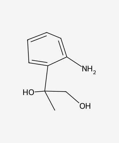 CC(O)(CO)c1ccccc1N